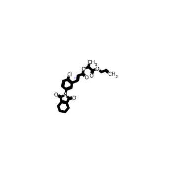 C=CCOC(=O)C(C)OC(=O)/C=C/c1cc(N2C(=O)C3=C(CCCC3)C2=O)ccc1Cl